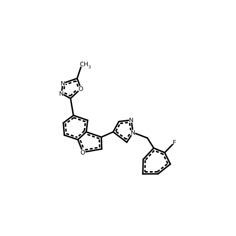 Cc1nnc(-c2ccc3occ(-c4cnn(Cc5ccccc5F)c4)c3c2)o1